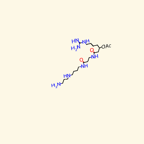 CC(=O)OC(CCCCNC(=N)N)CC(=O)NCCC(=O)NCCCCNCCCN